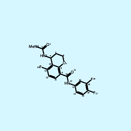 CNC(=O)NC1CCOc2c(C(=O)Nc3ccc(F)c(F)c3)ccc(F)c21